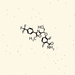 Cc1oc([C@@H](CO)Oc2ccc(F)c(C(N)=O)c2F)nc1-c1ccc(C(F)(F)F)cc1